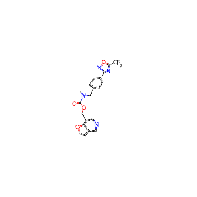 CN(Cc1ccc(-c2noc(C(F)(F)F)n2)cc1)C(=O)OCc1cncc2ccoc12